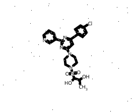 CC(O)C(O)S(=O)(=O)N1CCN(c2cc(-c3ccc(Cl)cc3)nc(-c3cccnc3)n2)CC1